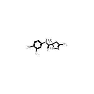 [C-]#[N+]c1ccc(NC(=S)[C@@]2(C)CC(C(F)(F)F)=NN2)cc1C(F)(F)F